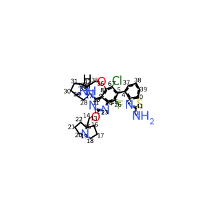 Nc1nc2c(-c3c(Cl)c4c5c(nc(OCC67CCCN6CCC7)nc5c3F)N3CC5CCC(N5)[C@H]3CO4)cccc2s1